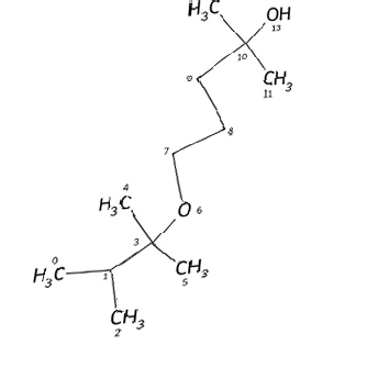 CC(C)C(C)(C)OCCCC(C)(C)O